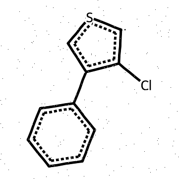 Clc1[c]scc1-c1ccccc1